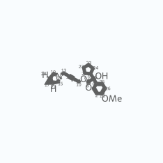 COc1ccc(C(O)(C(=O)OCC#CCN2C[C@H]3C[C@H]3C2)C2CCCC2)cc1